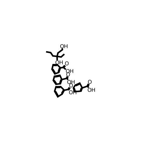 CCCC(O)(CC)CCO.O=C(O)c1ccccc1.O=C(O)c1ccccc1.O=C(O)c1ccccc1.O=C(O)c1ccccc1